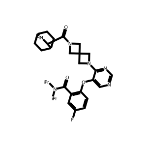 CC(C)N(C(=O)c1cc(F)ccc1Oc1cncnc1N1CC2(CN(C(=O)C3NC4CCC3CC4)C2)C1)C(C)C